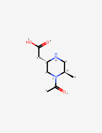 CC(=O)N1C[C@H](CC(=O)O)NC[C@H]1C